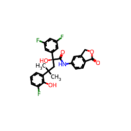 CC(C)(C[C@@](O)(C(=O)Nc1ccc2c(c1)COC2=O)c1cc(F)cc(F)c1)c1cccc(F)c1O